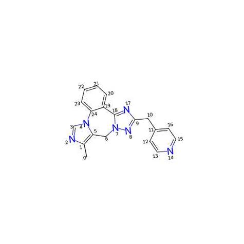 Cc1ncn2c1Cn1nc(Cc3ccncc3)nc1-c1ccccc1-2